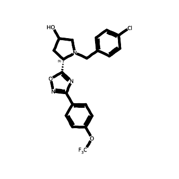 OC1C[C@@H](c2nc(-c3ccc(OC(F)(F)F)cc3)no2)N(Cc2ccc(Cl)cc2)C1